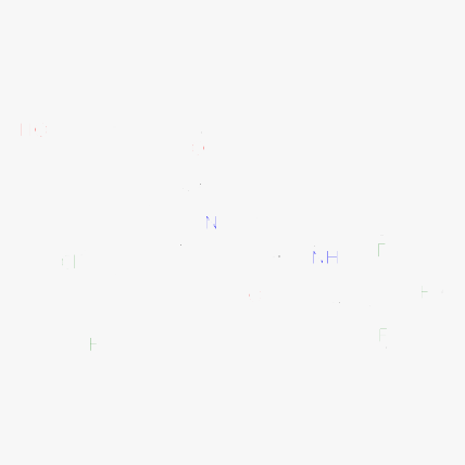 O=C(CN1C(=O)C2(CCC(O)CC2)c2c1ccc(F)c2Cl)NCC(F)(F)F